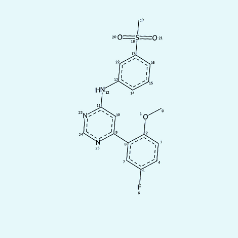 COc1ccc(F)cc1-c1cc(Nc2cccc(S(C)(=O)=O)c2)ncn1